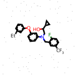 CCc1cccc(Oc2cccc(N(Cc3cc(C(F)(F)F)ccc3F)CC(O)C3CC3)c2)c1